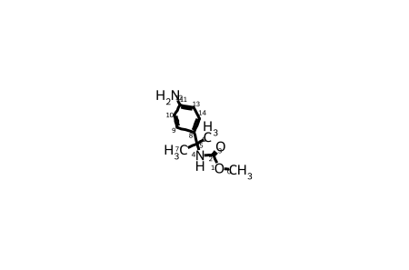 COC(=O)NC(C)(C)c1ccc(N)cc1